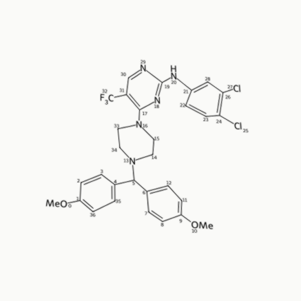 COc1ccc(C(c2ccc(OC)cc2)N2CCN(c3nc(Nc4ccc(Cl)c(Cl)c4)ncc3C(F)(F)F)CC2)cc1